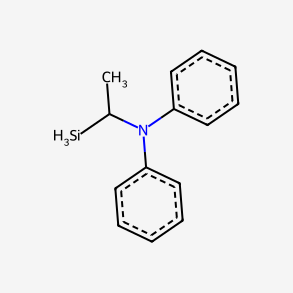 CC([SiH3])N(c1ccccc1)c1ccccc1